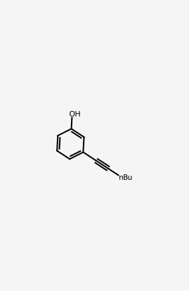 CCCCC#Cc1cccc(O)c1